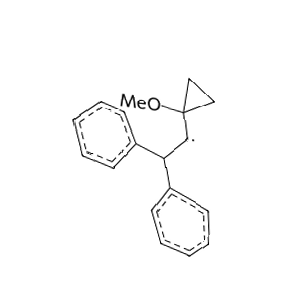 COC1([CH]C(c2ccccc2)c2ccccc2)CC1